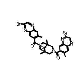 Cc1cc2ncc(Br)nc2cc1C(=O)N1CC2(C)CN(C(=O)c3cc4nc(Br)cnc4cc3C)CC(C)(C1)C2=O